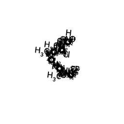 COc1cc2nn([C@H]3CC[C@H](CN(C)C4CCN(c5cc(Cl)cc6c5n(C)c(=O)n6C5CCC(=O)NC5=O)CC4)CC3)cc2cc1NC(=O)c1cccc(C(F)(F)F)n1